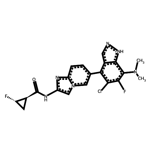 CN(C)c1c(F)c(Cl)c(-c2ccc3nc(NC(=O)[C@H]4C[C@@H]4F)cn3c2)c2cn[nH]c12